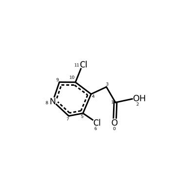 O=C(O)Cc1c(Cl)cncc1Cl